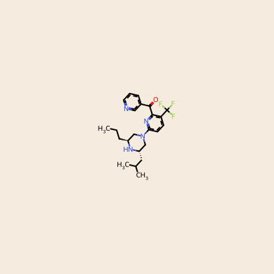 CCC[C@H]1CN(c2ccc(C(F)(F)F)c(C(=O)c3cccnc3)n2)C[C@H](CC(C)C)N1